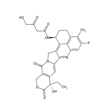 CC[C@@]1(O)C(=O)OCc2c1cc1n(c2=O)Cc2c-1nc1cc(F)c(C)c3c1c2[C@@H](NC(=O)CC(=O)CO)CC3